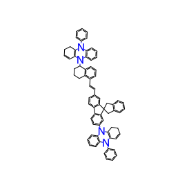 C1=CC2=C(CC1)N(c1ccc3c(c1)C1(Cc4ccccc4C1)c1cc(/C=C/c4cccc5c4CCCC5N4C5=C(CCC=C5)N(c5ccccc5)c5ccccc54)ccc1-3)c1ccccc1N2c1ccccc1